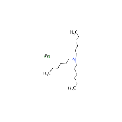 CCCCCCN(CCCCCC)CCCCCC.Cl.[Fe]